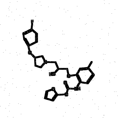 Cc1ccc(NC(=O)Oc2ccco2)c(OCC(O)CN2CCC(Oc3ccc(F)cc3)C2)c1